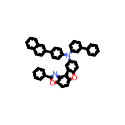 c1ccc(-c2cccc(N(c3ccc(-c4ccc5ccccc5c4)cc3)c3ccc4oc5ccc6oc(-c7ccccc7)nc6c5c4c3)c2)cc1